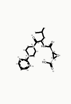 CC(C)CC(NC(=O)[C@H]1O[C@@H]1C(=O)O)C(=O)N1CCN(c2ncccn2)CC1